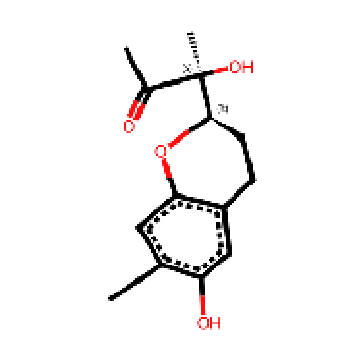 CC(=O)[C@@](C)(O)[C@H]1CCc2cc(O)c(C)cc2O1